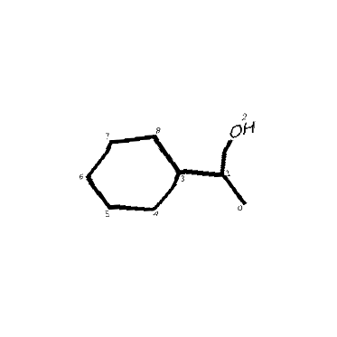 CC(O)C1CC[CH]CC1